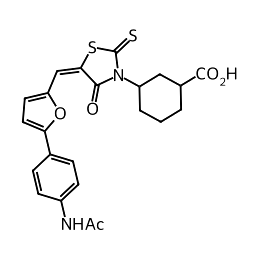 CC(=O)Nc1ccc(-c2ccc(C=C3SC(=S)N(C4CCCC(C(=O)O)C4)C3=O)o2)cc1